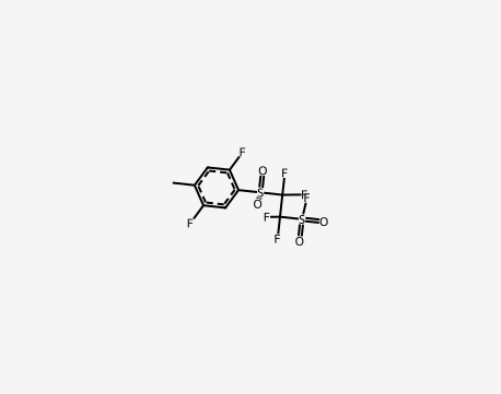 Cc1cc(F)c(S(=O)(=O)C(F)(F)C(F)(F)S(=O)(=O)F)cc1F